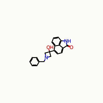 O=C1Nc2cccc3c(C4(O)CN(Cc5ccccc5)C4)ccc1c23